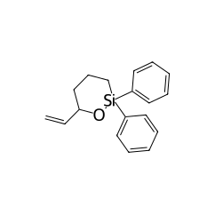 C=CC1CCC[Si](c2ccccc2)(c2ccccc2)O1